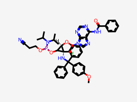 COc1ccc(C(N[C@]23C(OP(OCCC#N)N(C(C)C)C(C)C)[C@H]2O[C@@H](n2cnc4c(NC(=O)c5ccccc5)ncnc42)[C@@H]3F)(c2ccccc2)c2ccccc2)cc1